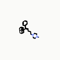 CN1CCN(CCC/C=C(/c2ccccc2)C23CC4CC(CC(C4)C2)C3)CC1